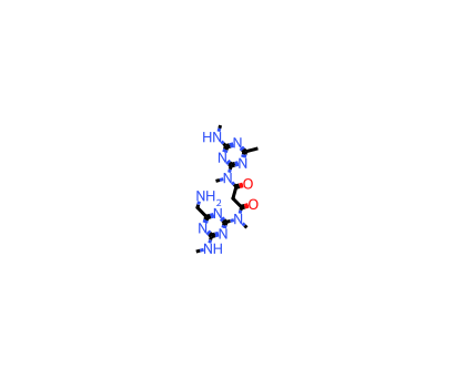 CNc1nc(C)nc(N(C)C(=O)CC(=O)N(C)c2nc(CN)nc(NC)n2)n1